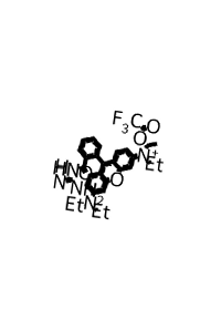 CCN(CC)c1ccc2c(-c3ccccc3C(=O)NC(=N)N)c3ccc(=[N+](CC)C(C)OC(=O)C(F)(F)F)cc-3oc2c1